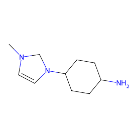 CN1C=CN(C2CCC(N)CC2)C1